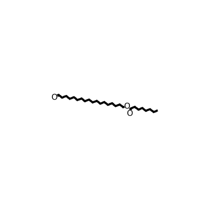 CCCCCCCC(=O)OCCCCCCCCCCCCCCCCCC=O